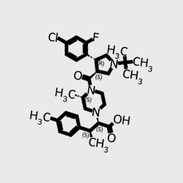 Cc1ccc([C@H](C)[C@@H](C(=O)O)N2CCN(C(=O)[C@@H]3CN(C(C)(C)C)C[C@H]3c3ccc(Cl)cc3F)[C@@H](C)C2)cc1